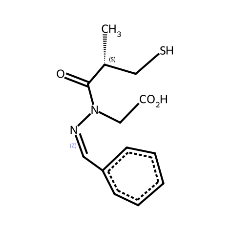 C[C@H](CS)C(=O)N(CC(=O)O)/N=C\c1ccccc1